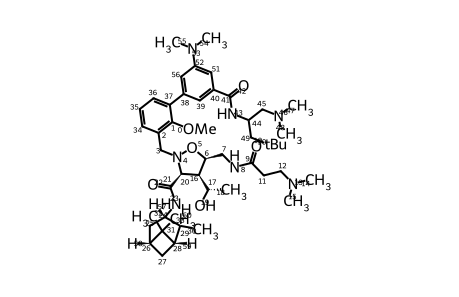 COc1c(CN2O[C@@H](CNC(=O)CCN(C)C)[C@@H]([C@H](C)O)[C@H]2C(=O)N[C@H]2C[C@H]3C[C@@H]([C@@H]2C)C3(C)C)cccc1-c1cc(C(=O)NC(CN(C)C)CC(C)(C)C)cc(N(C)C)c1